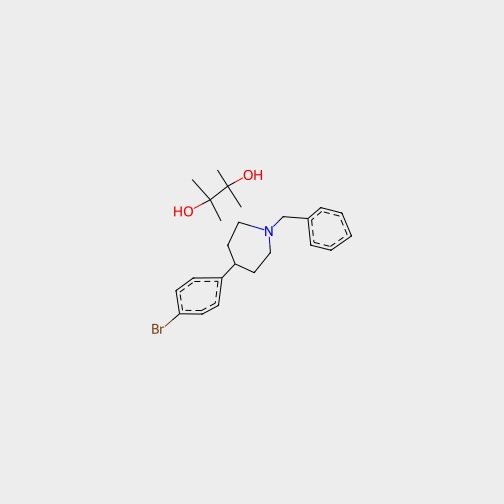 Brc1ccc(C2CCN(Cc3ccccc3)CC2)cc1.CC(C)(O)C(C)(C)O